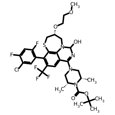 COCCO[C@H]1CSc2c(-c3cc(Cl)c(F)cc3F)c(C(F)(F)F)cc3c2N(C1)C(O)N=C3N1C[C@@H](C)N(C(=O)OC(C)(C)C)[C@@H](C)C1